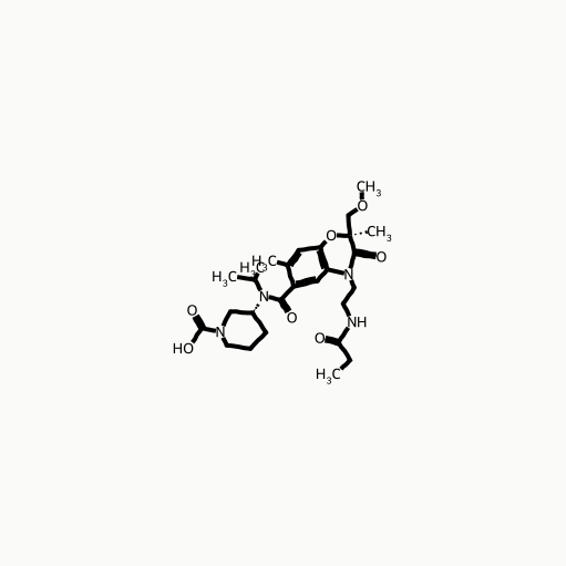 CCC(=O)NCCN1C(=O)[C@](C)(COC)Oc2cc(C)c(C(=O)N(C(C)C)[C@@H]3CCCN(C(=O)O)C3)cc21